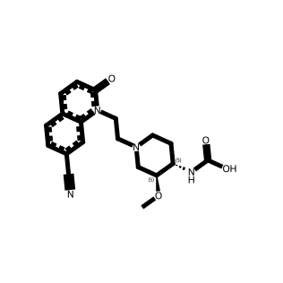 CO[C@H]1CN(CCn2c(=O)ccc3ccc(C#N)cc32)CC[C@@H]1NC(=O)O